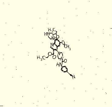 CCOC(=O)c1cnc2cc(OC(CC)C3CNCCN3)c(OC)cc2c1N1CCN(C(=O)Nc2ccc(C#N)cc2)CC1